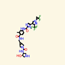 Cc1cc(NC(=O)c2ncc(-c3cn(C4CC4(F)F)nc3C(F)(F)F)n2C)ccc1C(=O)NCC1C2CN(C(=O)NC3CNC[C@@H]3O)CC12